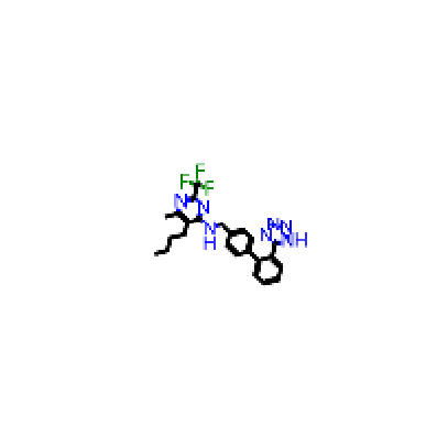 CCCCc1c(C)nc(C(F)(F)F)nc1NCc1ccc(-c2ccccc2-c2nnn[nH]2)cc1